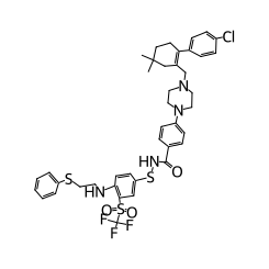 CC1(C)CCC(c2ccc(Cl)cc2)=C(CN2CCN(c3ccc(C(=O)NSc4ccc(NCCSc5ccccc5)c(S(=O)(=O)C(F)(F)F)c4)cc3)CC2)C1